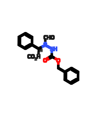 O=CN(NC(=O)OCc1ccccc1)[C@@H](C(=O)O)c1ccccc1